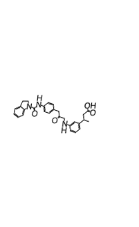 CC(CC(=O)O)c1cccc(NCC(=O)Cc2ccc(NC(=O)N3CCc4ccccc43)cc2)c1